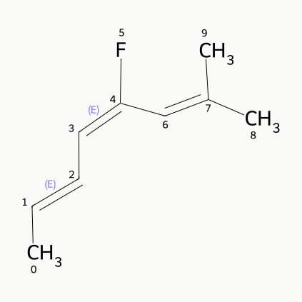 C/C=C/C=C(/F)C=C(C)C